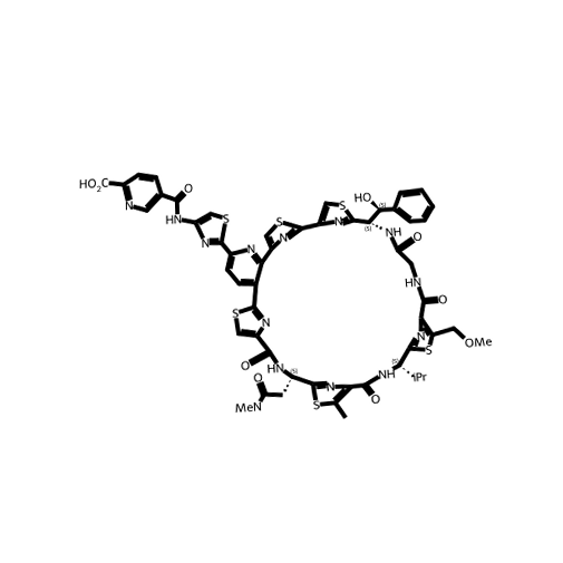 CNC(=O)C[C@@H]1NC(=O)c2csc(n2)-c2ccc(-c3nc(NC(=O)c4ccc(C(=O)O)nc4)cs3)nc2-c2csc(n2)-c2csc(n2)[C@H]([C@@H](O)c2ccccc2)NC(=O)CNC(=O)c2nc(sc2COC)[C@H](C(C)C)NC(=O)c2nc1sc2C